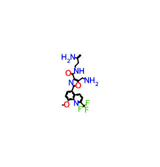 C=C(N)CCNC(=O)c1nc(-c2ccc(OC)c3nc(C(F)(F)F)ccc23)oc1CN